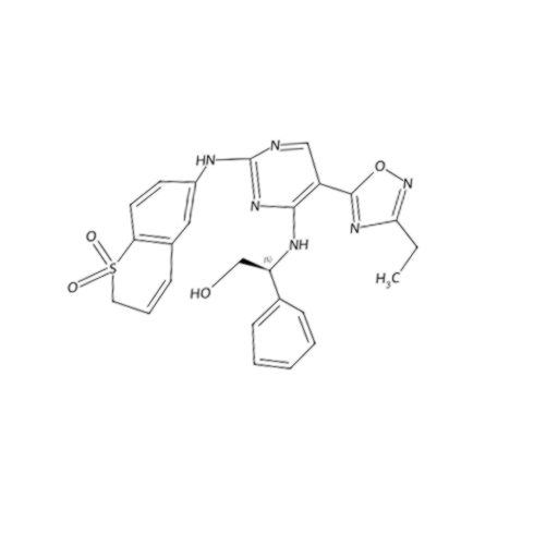 CCc1noc(-c2cnc(Nc3ccc4c(c3)C=CCS4(=O)=O)nc2N[C@H](CO)c2ccccc2)n1